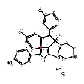 Cc1[nH]c(-c2ccccc2)nc1C(C(C)C)(C(c1cccc(Cl)c1)c1cccc(Cl)c1)N1CCNCC1.Cl.Cl.Cl